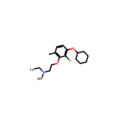 Cc1ccc(OC2CCCCC2)c(Cl)c1OCCN(C=O)CC(F)(F)F